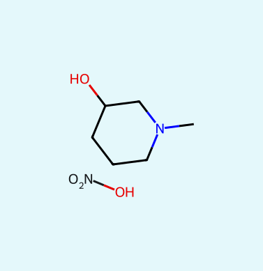 CN1CCCC(O)C1.O=[N+]([O-])O